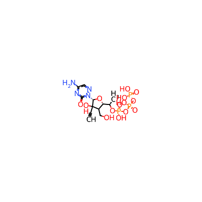 C#CC1(O)C(CO)[C@@H]([C@@H](C)OP(=O)(O)OP(=O)(O)OP(=O)(O)O)O[C@H]1n1ncc(N)nc1=O